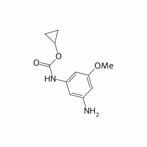 COc1cc(N)cc(NC(=O)OC2CC2)c1